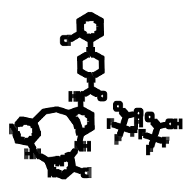 O=C(Nc1ccc2cc1CCc1cncc(c1)Nc1ncc(Cl)c(n1)N2)N1CCN(c2ccccc2Cl)CC1.O=C(O)C(F)(F)F.O=C(O)C(F)(F)F